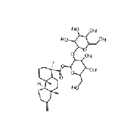 C=C1CC[C@@H]2[C@](C)(CCC3[C@](C)(C(=O)OC4OC(CO)C(O)C(O)C4OC4OC(CO)C(O)C(O)C4O)CCC[C@]32C)C1